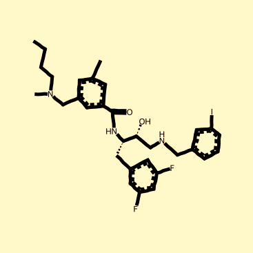 CCCCN(C)Cc1cc(C)cc(C(=O)N[C@@H](Cc2cc(F)cc(F)c2)[C@H](O)CNCc2cccc(I)c2)c1